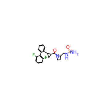 N[S+]([O-])NCC1CCN1C(=O)C1CC1c1ccccc1-c1c(F)cccc1F